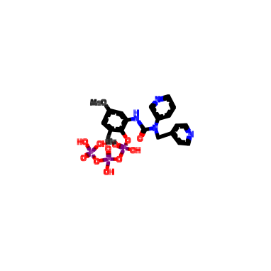 COc1cc(NC(=O)N(Cc2ccncc2)c2cccnc2)c(OP(=O)(O)OP(=O)(O)OP(=O)(O)O)c(C(C)(C)C)c1